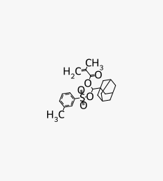 C=C(C)C(=O)OC(OS(=O)(=O)c1cccc(C)c1)C12CC3CC(CC(C3)C1)C2